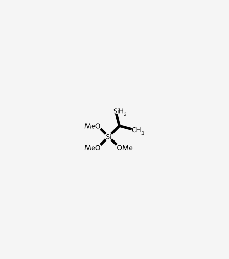 CO[Si](OC)(OC)C(C)[SiH3]